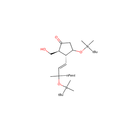 CCCCCC(C)(C=C[C@H]1C(O[Si](C)(C)C(C)(C)C)CC(=O)[C@@H]1CO)O[Si](C)(C)C(C)(C)C